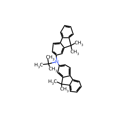 CC1(C)c2ccccc2-c2ccc(N(c3ccc4c(c3)C(C)(C)c3ccccc3-4)C(C)(C)C)cc21